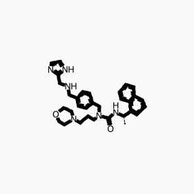 C[C@H](NC(=O)N(CCCN1CCOCC1)Cc1ccc(CNCc2ncc[nH]2)cc1)c1cccc2ccccc12